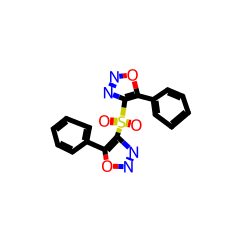 O=S(=O)(c1nnoc1-c1ccccc1)c1nnoc1-c1ccccc1